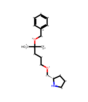 O=C(O)C(CCCOC[C@@H]1CCCN1)(OCc1ccccc1)C(F)(F)F